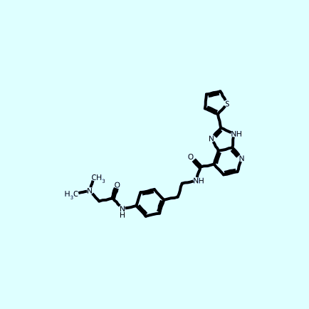 CN(C)CC(=O)Nc1ccc(CCNC(=O)c2ccnc3[nH]c(-c4cccs4)nc23)cc1